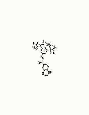 CC(C)(C)c1cc(C=CC(=O)c2ccc3c(c2)SC=CN3)cc(C(C)(C)C)c1O